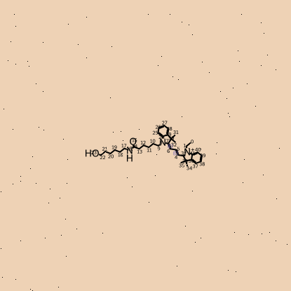 CC[N+]1=C(/C=C/C=C2/N(CCCCCC(=O)NCCCCCCO)c3ccccc3C2(C)C)C(C)(C)c2ccccc21